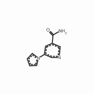 NC(=O)c1cncc(-n2cccc2)c1